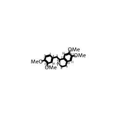 COc1ccc(CC2[N]CCc3cc(OC)c(OC)cc32)cc1OC